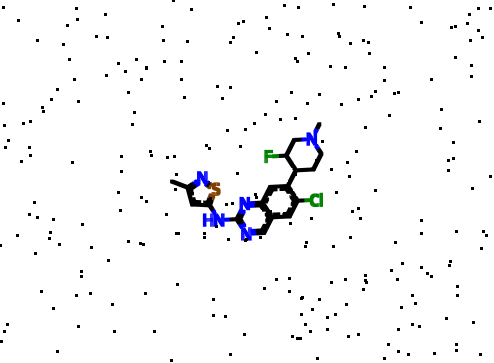 Cc1cc(Nc2ncc3cc(Cl)c(C4CCN(C)CC4F)cc3n2)sn1